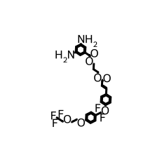 Nc1cc(N)cc(C(=O)OCCCOC(=O)/C=C/c2ccc(OC(F)(F)c3ccc(OCCOCC(F)(F)F)cc3)cc2)c1